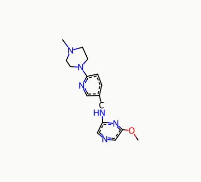 COc1cncc(NCc2ccc(N3CCN(C)CC3)nc2)n1